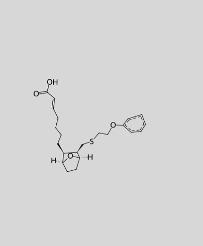 O=C(O)/C=C/CCCC[C@H]1[C@@H](CSCCOc2ccccc2)[C@H]2CC[C@@H]1O2